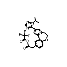 CC(C)n1ncnc1-c1cn2c(n1)-c1cc(CC(=O)OC(=O)C(F)(F)F)ccc1OCC2